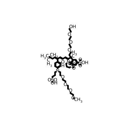 COCCOCCOCCOCCN(CCCS(=O)(=O)O)c1ccc(C(=C\CC(C)(C)C)/C=C/C=C2\N(CCCS(=O)(=O)O)c3ccc(S(=O)(=O)O)cc3C2(C)CCOCCOCCOCCO)c(O)c1